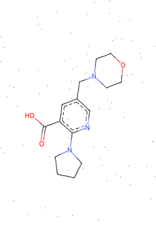 O=C(O)c1cc(CN2CCOCC2)cnc1N1CCCC1